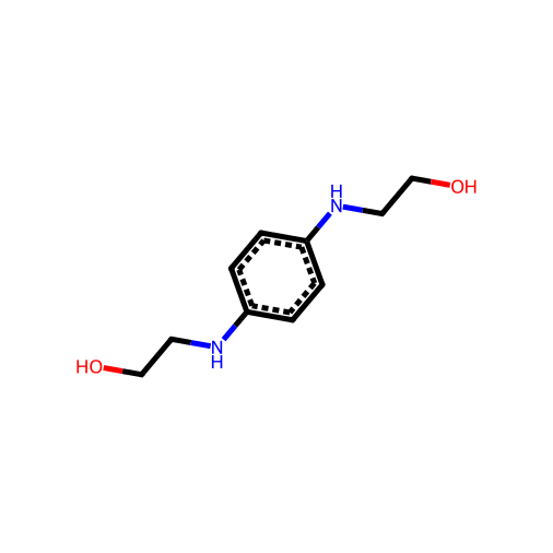 OCCNc1ccc(NCCO)cc1